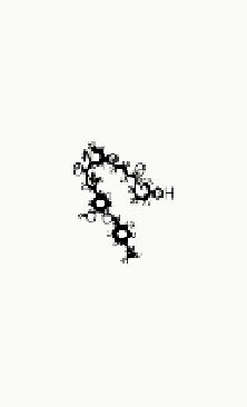 COc1cc(C2CN(C(=O)c3cc(OCCCC(=O)N4CCC[C@@H](O)C4)ccn3)C2)ccc1OCc1ccc(C2CC2)cc1